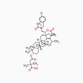 CC(=O)O[C@H](CN(Cc1ccc(Cl)cc1)C(C)=O)[C@@]12CC[C@]3(C)[C@H](CC[C@H]4[C@H]3CC[C@H]3C(C)(C)[C@@H](OC(=O)CC(C)(C)C(=O)O)CC[C@]43C)C1=C(C(C)C)C(=O)C2